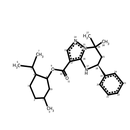 CC1CCC(C(C)C)C(OC(=O)c2cnn3c2N[C@H](c2ccccc2)CC3(C)C)C1